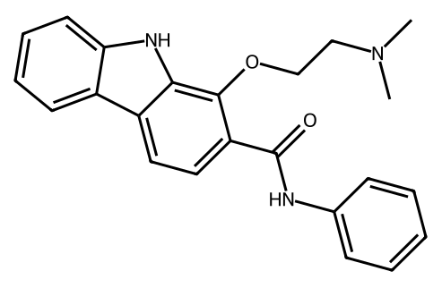 CN(C)CCOc1c(C(=O)Nc2ccccc2)ccc2c1[nH]c1ccccc12